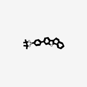 CC1(C)OB(c2ccc(-c3ccc4c(c3)oc3c5ccccc5ccc43)cc2)OC1(C)C